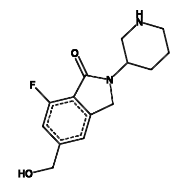 O=C1c2c(F)cc(CO)cc2CN1C1CCCNC1